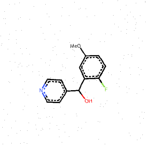 COc1ccc(F)c(C(O)c2ccncc2)c1